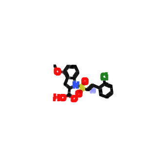 COc1cccc2c1CC(C(=O)O)N2S(=O)(=O)/C=C/c1ccccc1Cl